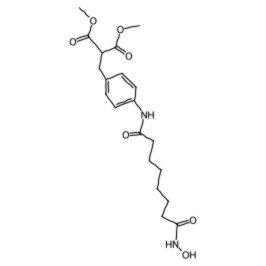 COC(=O)C(Cc1ccc(NC(=O)CCCCCCC(=O)NO)cc1)C(=O)OC